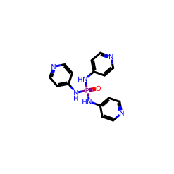 O=P(Nc1ccncc1)(Nc1ccncc1)Nc1ccncc1